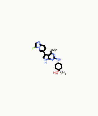 COc1nc(N[C@H]2CC[C@@](C)(O)CC2)nc2[nH]cc(-c3ccc4ncc(F)n4c3)c12